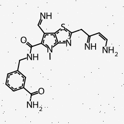 Cn1c(C(=O)NCc2cccc(C(N)=O)c2)c(C=N)c2sc(CC(=N)/C=C\N)nc21